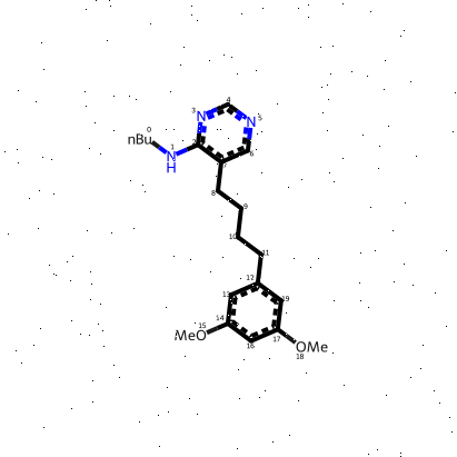 CCCCNc1ncncc1CCCCc1cc(OC)cc(OC)c1